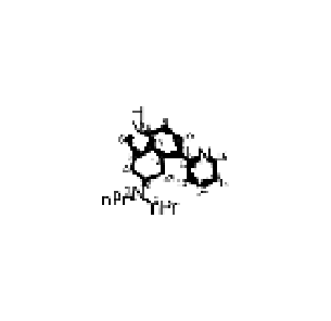 CCCN(CCC)C1Cc2c[nH]c3ccc(-c4ccccn4)c(c23)C1